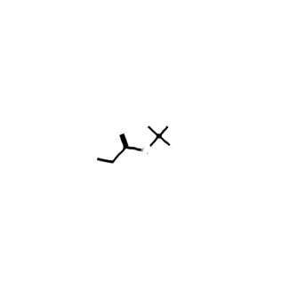 CC(C)(C)NC(=O)C[S]